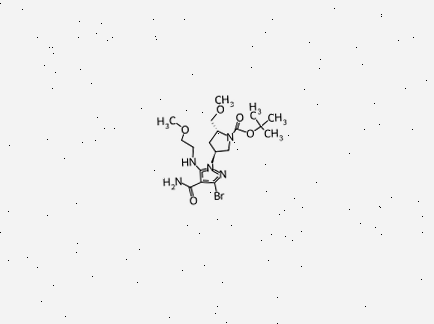 COCCNc1c(C(N)=O)c(Br)nn1[C@H]1C[C@H](COC)N(C(=O)OC(C)(C)C)C1